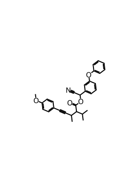 COc1ccc(C#CC(C)C(C(=O)OC(C#N)c2cccc(Oc3ccccc3)c2)C(C)C)cc1